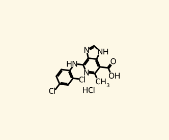 Cc1nc(Nc2ccc(Cl)cc2Cl)c2nc[nH]c2c1C(=O)O.Cl